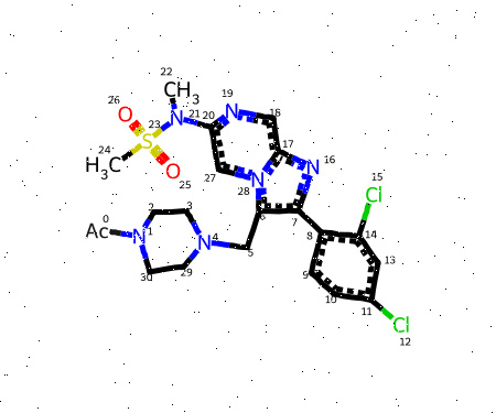 CC(=O)N1CCN(Cc2c(-c3ccc(Cl)cc3Cl)nc3cnc(N(C)S(C)(=O)=O)cn23)CC1